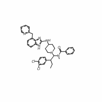 CCC(c1ccc(Cl)c(Cl)c1)C(N1CCC(Nc2nc3c(Cc4ccccn4)cccc3[nH]2)CC1)N(C)C(=O)c1ccccc1